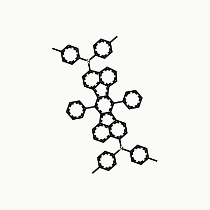 Cc1ccc(N(c2ccc(C)cc2)c2ccc3c4c(-c5ccccc5)c5c6cccc7c(N(c8ccc(C)cc8)c8ccc(C)cc8)ccc(c5c(-c5ccccc5)c4c4cccc2c43)c76)cc1